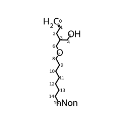 C=CCC(CO)COCCCCCCCCCCCCCCCC